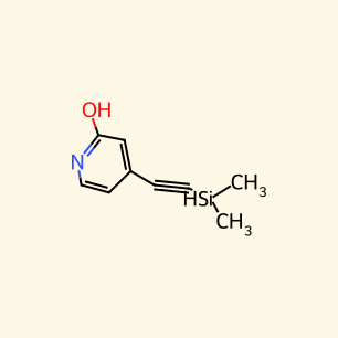 C[SiH](C)C#Cc1ccnc(O)c1